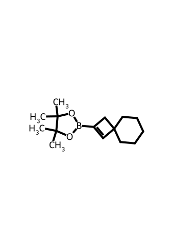 CC1(C)OB(C2=CC3(CCCCC3)C2)OC1(C)C